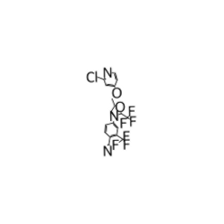 N#Cc1ccc(N2CC(COc3ccnc(Cl)c3)OC2C(F)(F)F)cc1C(F)(F)F